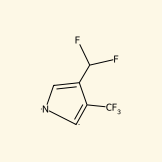 FC(F)C1=C[N][C]=C1C(F)(F)F